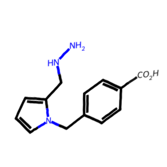 NNCc1cccn1Cc1ccc(C(=O)O)cc1